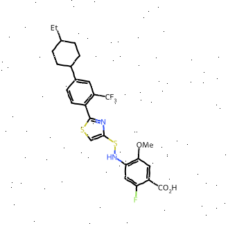 CCC1CCC(c2ccc(-c3nc(SNc4cc(F)c(C(=O)O)cc4OC)cs3)c(C(F)(F)F)c2)CC1